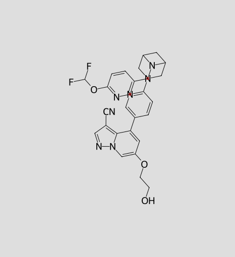 N#Cc1cnn2cc(OCCO)cc(-c3ccc(N4CC5CC(C4)N5Cc4ccc(OC(F)F)nc4)nc3)c12